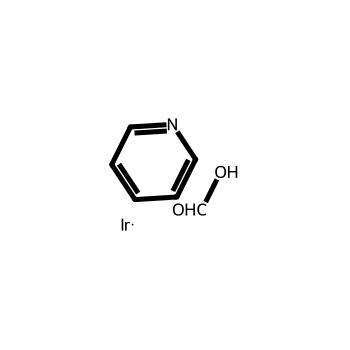 O=CO.[Ir].c1ccncc1